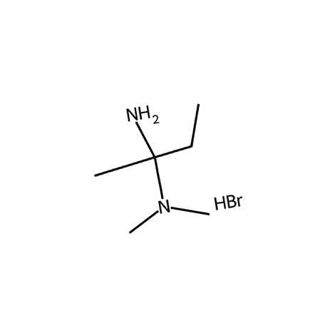 Br.CCC(C)(N)N(C)C